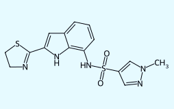 Cn1cc(S(=O)(=O)Nc2cccc3cc(C4=NCCS4)[nH]c23)cn1